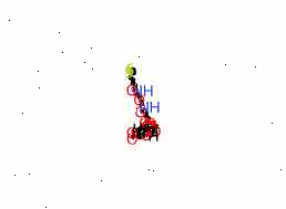 CC(C)[C@]12O[C@H]1[C@@H]1O[C@@]13[C@@]1(C)CCC4=C(COC4=O)[C@@H]1CC1O[C@@]13[C@@H]2OC(=O)CCCC(=O)NCCOCCNC(=O)CCCCC1CCSS1